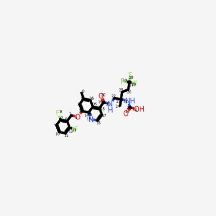 Cc1cc(OCc2c(F)cccc2F)c2nccc(C(=O)NCC(C)(CCC(F)(F)F)NC(=O)O)c2c1